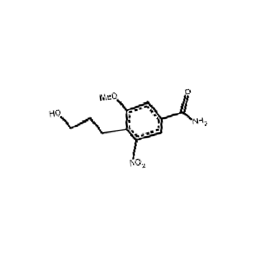 COc1cc(C(N)=O)cc([N+](=O)[O-])c1CCCO